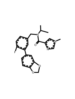 CC(C)N(Cc1ccc(F)c(-c2ccc3c(c2)OCO3)c1)C(=O)c1cn(C)cn1